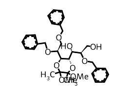 COC1(C)O[C@@H]([C@H](COCc2ccccc2)OCc2ccccc2)[C@H]([C@H](O)[C@@H](CO)OCc2ccccc2)OC1(C)OC